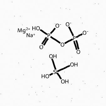 O=P([O-])([O-])OP(=O)([O-])O.O[Si](O)(O)O.[Mg+2].[Na+]